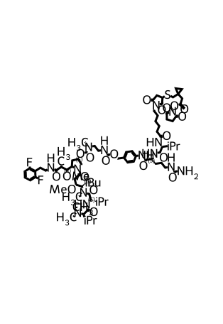 CC[C@H](C)C(C(CC(=O)N1C[C@@H](OC(=O)N(C)CCNC(=O)OCc2ccc(NC(=O)[C@H](CCCNC(N)=O)NC(=O)C(NC(=O)CCCCCN3C(=O)CC(SCC4(CC(=O)ON5C(=O)CCC5=O)CC4)C3=O)C(C)C)cc2)CC1[C@H](OC)C(C)C(=O)NCCc1c(F)cccc1F)OC)N(C)C(=O)[C@@H](NC(=O)C(C(C)C)N(C)C)C(C)C